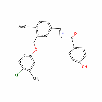 COc1ccc(/C=C/C(=O)c2ccc(O)cc2)cc1COc1ccc(Cl)c(C)c1